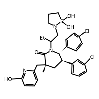 CCC(CN1CCCS1(O)O)N1C(=O)[C@@](C)(Cc2cccc(O)n2)C[C@H](c2cccc(Cl)c2)[C@H]1c1ccc(Cl)cc1